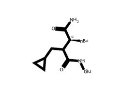 CCCC[C@H](C(N)=O)C(CC1CC1)C(=O)NC(C)(C)C